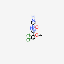 C=CCOc1ccc(Cl)c(Cl)c1C1Cc2nn(C3CCNCC3)c(=O)n2C1